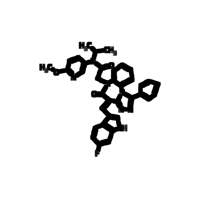 COc1ccc(N(C(=O)CN2C(=O)/C(=C/c3c[nH]c4cc(F)ccc34)c3nnc(-c4ccccc4)n3-c3ccccc32)C(C)C)cn1